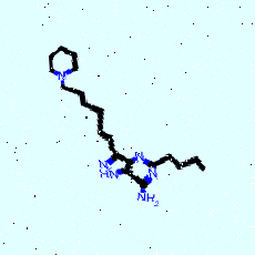 CCCCc1nc(N)c2[nH]nc(CCCCCCN3CCCCC3)c2n1